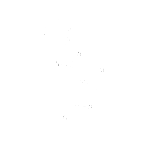 Cn1c(-c2cc(Cl)ncc2Cl)nc2ccccc21